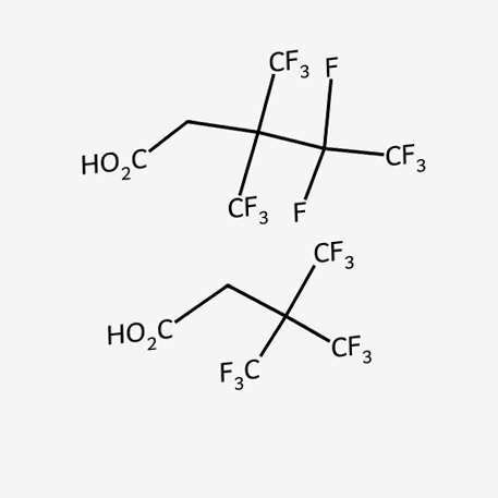 O=C(O)CC(C(F)(F)F)(C(F)(F)F)C(F)(F)C(F)(F)F.O=C(O)CC(C(F)(F)F)(C(F)(F)F)C(F)(F)F